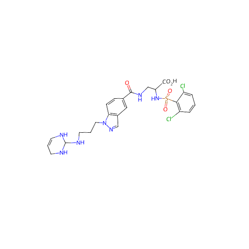 O=C(NCC(NS(=O)(=O)c1c(Cl)cccc1Cl)C(=O)O)c1ccc2c(cnn2CCCNC2NC=CCN2)c1